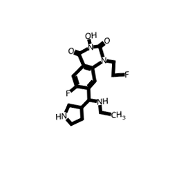 CCNC(c1cc2c(cc1F)c(=O)n(O)c(=O)n2CCF)C1CCNC1